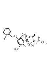 CNC[C@H]1C(=O)O[C@H]2c3c(C)c(OCc4ccccc4F)cc(C)c3CC[C@@H]12